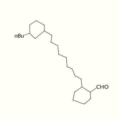 CCCCC1CCCC(CCCCCCCCCC2CCCCC2C=O)C1